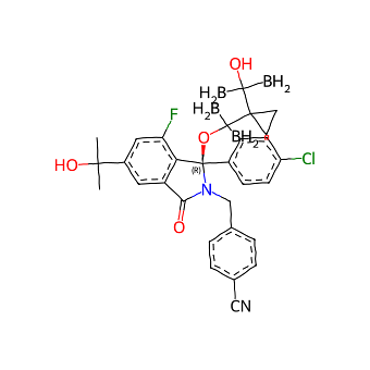 BC(B)(O)C1(C(B)(B)O[C@]2(c3ccc(Cl)cc3)c3c(F)cc(C(C)(C)O)cc3C(=O)N2Cc2ccc(C#N)cc2)CC1